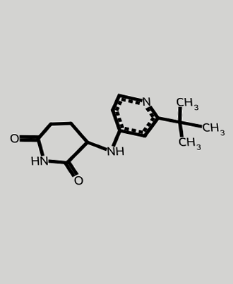 CC(C)(C)c1cc(NC2CCC(=O)NC2=O)ccn1